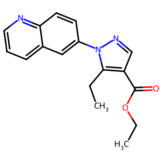 CCOC(=O)c1cnn(-c2ccc3ncccc3c2)c1CC